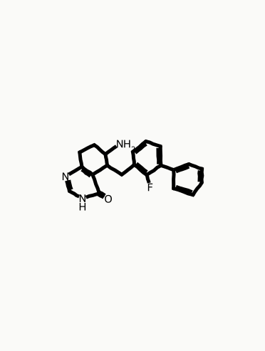 NC1CCc2nc[nH]c(=O)c2C1Cc1cccc(-c2ccccc2)c1F